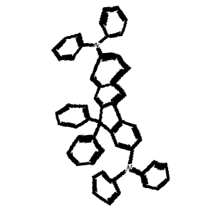 c1ccc(N(c2ccccc2)c2ccc3c(c2)C(c2ccccc2)(c2ccccc2)c2cc4cc(N(c5ccccc5)c5ccccc5)ccc4cc2-3)cc1